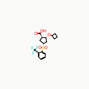 O=C(O)[C@@H]1C[C@@H](S(=O)(=O)c2ccccc2C(F)(F)F)C[C@H]1OC1CCC1